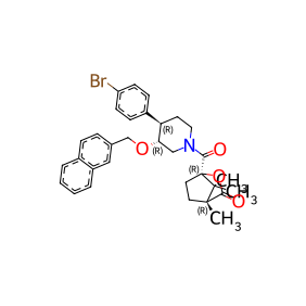 CC1(C)[C@@]2(C)CC[C@@]1(C(=O)N1CC[C@H](c3ccc(Br)cc3)[C@@H](OCc3ccc4ccccc4c3)C1)OC2=O